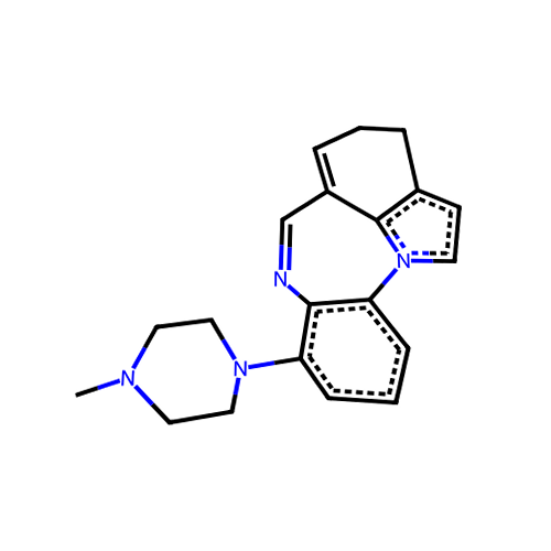 CN1CCN(c2cccc3c2N=CC2=CCCc4ccn-3c42)CC1